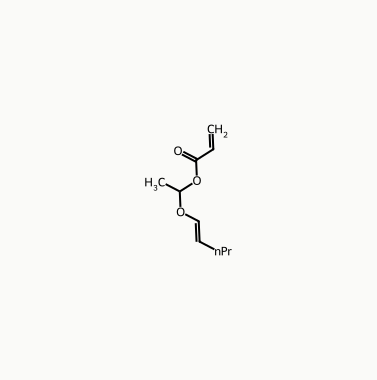 C=CC(=O)OC(C)OC=CCCC